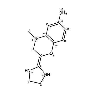 CN1CC(=C2NCCN2)Oc2ccc(N)cc21